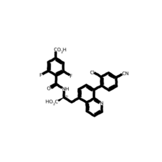 N#Cc1ccc(-c2ccc(C[C@H](NC(=O)c3c(F)cc(C(=O)O)cc3F)C(=O)O)c3cccnc23)c(Cl)c1